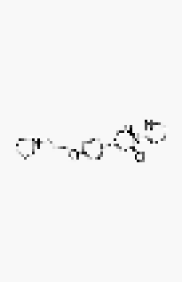 O=c1cc(-c2ccc(OCCCN3CCCCC3)cc2)cnn1C1=CCCC=N1